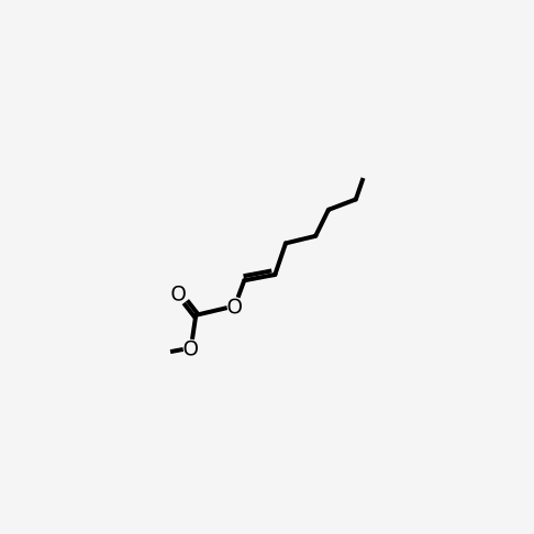 CCCCCC=COC(=O)OC